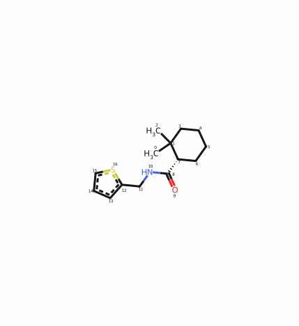 CC1(C)CCCC[C@@H]1C(=O)NCc1cccs1